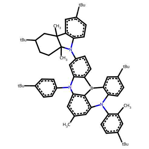 Cc1cc2c3c(c1)N(c1ccc(C(C)(C)C)cc1C)c1ccc(C(C)(C)C)cc1B3c1ccc(N3c4ccc(C(C)(C)C)cc4C4(C)CC(C(C)(C)C)CCC34C)cc1N2c1ccc(C(C)(C)C)cc1